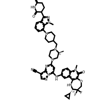 C[C@H]1CN(c2cc(Nc3ccc4c(c3)c3c(c(=O)n4C)OCC(F)(F)[C@H](C4CC4)N3)n3ncc(C#N)c3n2)CCN1CC1CCN(c2cccc3c(C4CCC(=O)NC4=O)nn(C)c23)CC1